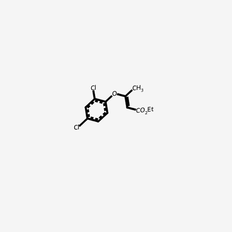 CCOC(=O)C=C(C)Oc1ccc(Cl)cc1Cl